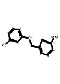 CCc1cccc(OCc2cccc(C#N)c2)c1